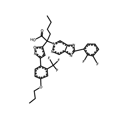 CCCCC(C(=O)O)(c1cc(-c2ccc(OCCC)cc2C(F)(F)F)no1)n1cc2nc(-c3cccc(F)c3F)nc-2cn1